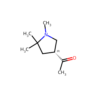 CC(=O)[C@H]1CN(C)C(C)(C)C1